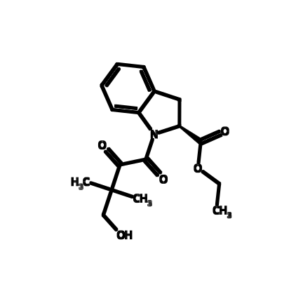 CCOC(=O)[C@@H]1Cc2ccccc2N1C(=O)C(=O)C(C)(C)CO